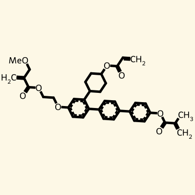 C=CC(=O)OC1CCC(c2cc(OCCOC(=O)C(=C)COC)ccc2-c2ccc(-c3ccc(OC(=O)C(=C)C)cc3)cc2)CC1